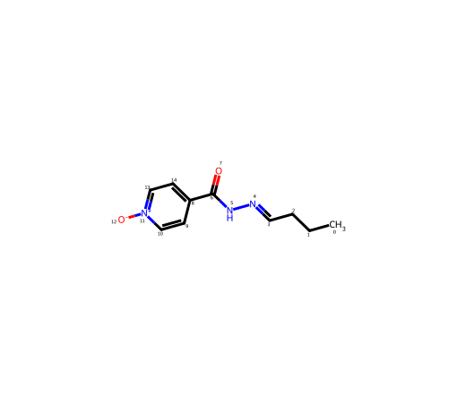 CCCC=NNC(=O)c1cc[n+]([O-])cc1